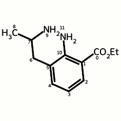 CCOC(=O)c1cccc(CC(C)N)c1N